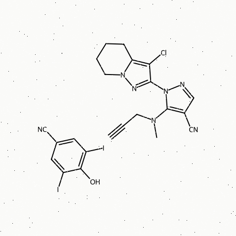 C#CCN(C)c1c(C#N)cnn1-c1nn2c(c1Cl)CCCC2.N#Cc1cc(I)c(O)c(I)c1